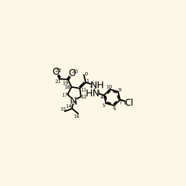 CC(NNc1ccc(Cl)cc1)=C1CN(C(C)C)CC1C(=O)C=O